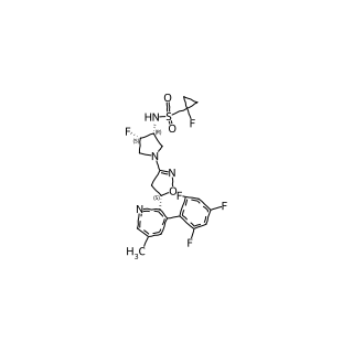 Cc1cnc([C@@H]2CC(N3C[C@H](F)[C@H](NS(=O)(=O)C4(F)CC4)C3)=NO2)c(-c2c(F)cc(F)cc2F)c1